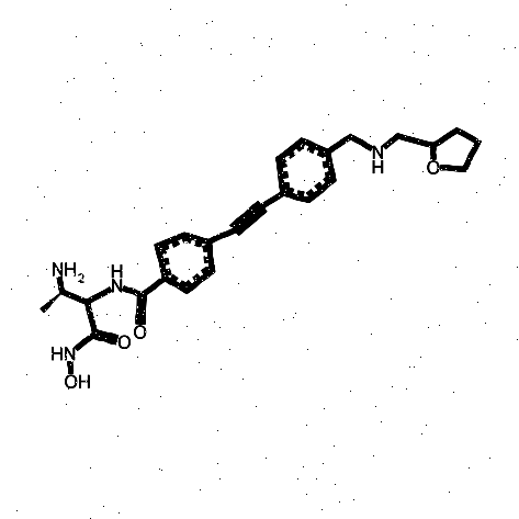 C[C@@H](N)C(NC(=O)c1ccc(C#Cc2ccc(CNCC3CCCO3)cc2)cc1)C(=O)NO